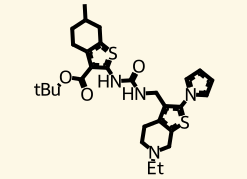 CCN1CCc2c(sc(-n3cccc3)c2CNC(=O)Nc2sc3c(c2C(=O)OC(C)(C)C)CCC(C)C3)C1